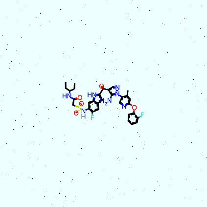 CCC(CC)NC(=O)CS(=O)(=O)Nc1cc2[nH]c(C(=O)c3cnn(-c4cnc(Oc5ccccc5F)cc4C)c3N)cc2cc1F